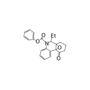 CCC1N(C(=O)Oc2ccccc2)c2ccccc2C23OC12CCCC3=O